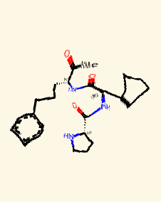 CNC(=O)[C@@H](CCCc1ccccc1)NC(=O)[C@H](NC(=O)[C@@H]1CCCN1)C1CCCC1